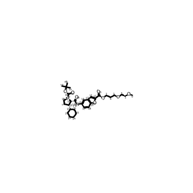 COCCOCCCOC(=O)c1cc2cc(NC(=O)[C@@H]3[C@H](C4CCCCC4)CCN3C(=O)OC(C)(C)C)ccc2o1